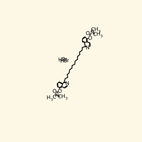 Br.Br.CN(C)C(=O)Oc1cccc2c(CCCCCCCCCCCCCCCc3nccc4c(OC(=O)N(C)C)cccc34)nccc12